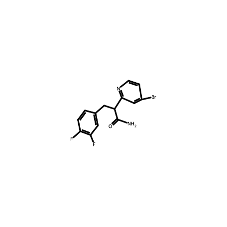 NC(=O)C(Cc1ccc(F)c(F)c1)c1cc(Br)ccn1